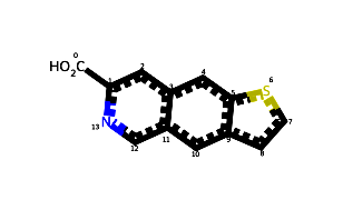 O=C(O)c1cc2cc3sccc3cc2cn1